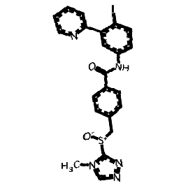 Cn1cnnc1[S+]([O-])Cc1ccc(C(=O)Nc2ccc(I)c(-c3ccccn3)c2)cc1